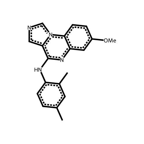 COc1ccc2c(c1)nc(Nc1ccc(C)cc1C)c1cncn12